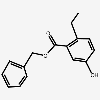 CCc1ccc(O)cc1C(=O)OCc1ccccc1